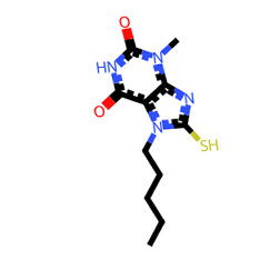 CCCCCn1c(S)nc2c1c(=O)[nH]c(=O)n2C